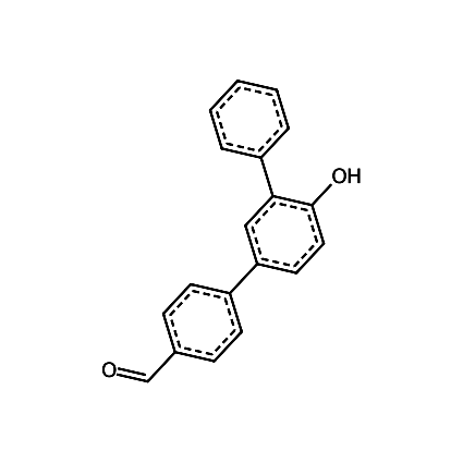 O=Cc1ccc(-c2ccc(O)c(-c3ccccc3)c2)cc1